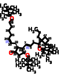 CCCC1(C(C/C=C/[C@H]2[C@H](O[Si](C)(C)C(C)(C)C)CC(=O)[C@@H]2C/C=C\CCCCO[Si](C)(C)C(C)(C)C)O[Si](C)(C)C(C)(C)C)CCC1